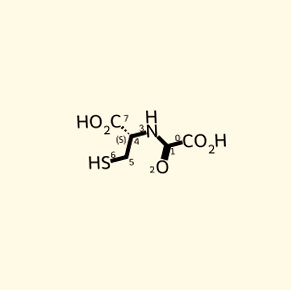 O=C(O)C(=O)N[C@H](CS)C(=O)O